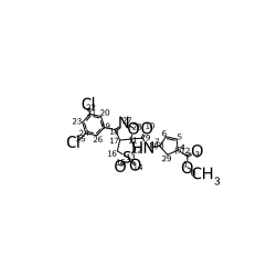 COC(=O)[C@@H]1C=C[C@H](NC(=O)C23CS(=O)(=O)CC2C(c2cc(Cl)cc(Cl)c2)=NO3)C1